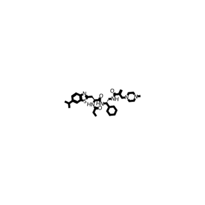 C=C(CN1CCN(C)CC1)C(=O)NC[C@@H](NC(=O)[C@H](Cc1nc2ccc(C(C)C)cc2s1)NC(=O)CC)C1CCCCC1